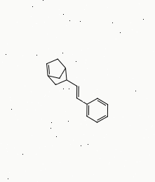 C(=CC1CC2=CCC1C2)c1ccccc1